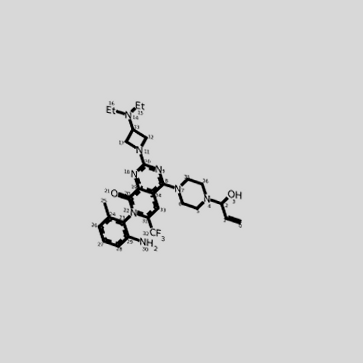 C=CC(O)N1CCN(c2nc(N3CC(N(CC)CC)C3)nc3c(=O)n(-c4c(C)cccc4N)c(C(F)(F)F)cc23)CC1